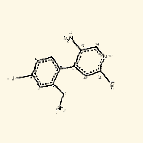 NCc1cc(F)ccc1-c1cc(Cl)ncc1N